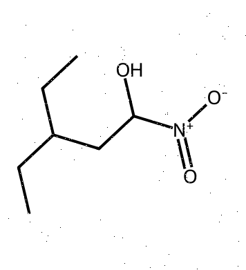 CCC(CC)CC(O)[N+](=O)[O-]